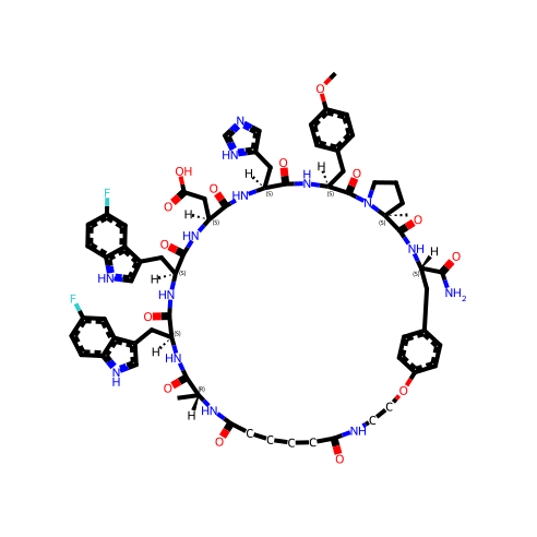 COc1ccc(C[C@@H]2NC(=O)[C@H](Cc3cnc[nH]3)NC(=O)[C@H](CC(=O)O)NC(=O)[C@H](Cc3c[nH]c4ccc(F)cc34)NC(=O)[C@H](Cc3c[nH]c4ccc(F)cc34)NC(=O)[C@@H](C)NC(=O)CCCCC(=O)NCCOc3ccc(cc3)C[C@@H](C(N)=O)NC(=O)[C@]3(C)CCCN3C2=O)cc1